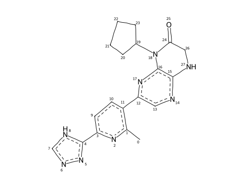 Cc1nc(-c2nnc[nH]2)ccc1-c1cnc2c(n1)N(C1CCCC1)C(=O)CN2